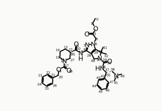 CCOC(=O)Cn1nc(NC(=O)[C@@H]2CCCN(C(=O)OCc3ccccc3)C2)c2c1C(C)(C)N(C(=O)N[C@H](CN(C)C)c1ccccc1)C2